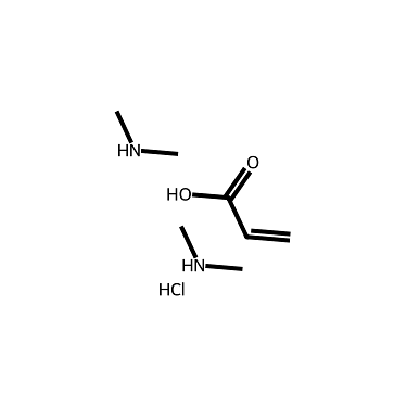 C=CC(=O)O.CNC.CNC.Cl